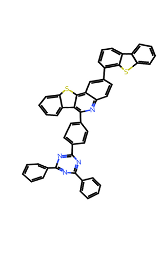 c1ccc(-c2nc(-c3ccccc3)nc(-c3ccc(-c4nc5ccc(-c6cccc7c6sc6ccccc67)cc5c5sc6ccccc6c45)cc3)n2)cc1